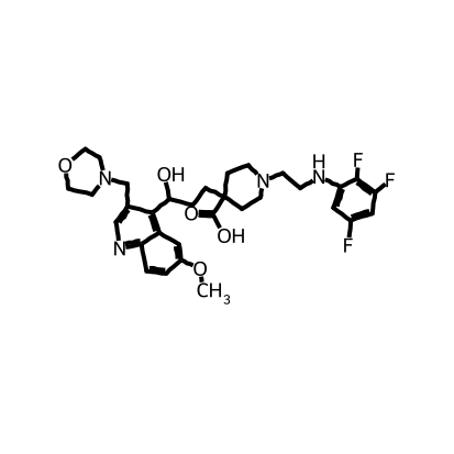 COc1ccc2ncc(CN3CCOCC3)c(C(O)CCC3(C(=O)O)CCN(CCNc4cc(F)cc(F)c4F)CC3)c2c1